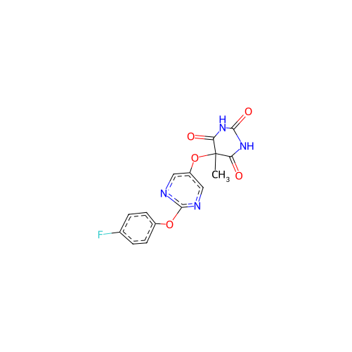 CC1(Oc2cnc(Oc3ccc(F)cc3)nc2)C(=O)NC(=O)NC1=O